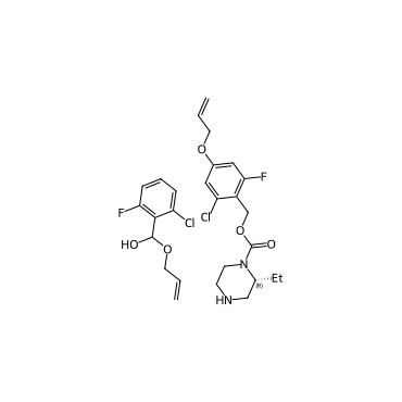 C=CCOC(O)c1c(F)cccc1Cl.C=CCOc1cc(F)c(COC(=O)N2CCNC[C@H]2CC)c(Cl)c1